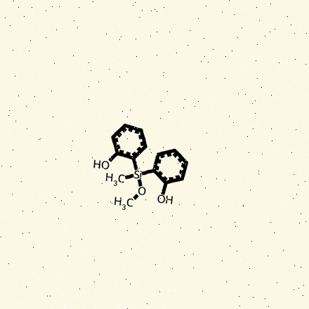 CO[Si](C)(c1ccccc1O)c1ccccc1O